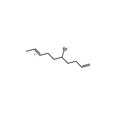 C=CCCC(Br)CC/C=C/C